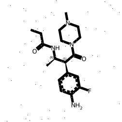 CCC(=O)N[C@H](C)[C@@H](C(=O)N1CCN(C)CC1)c1ccc(N)c(F)c1